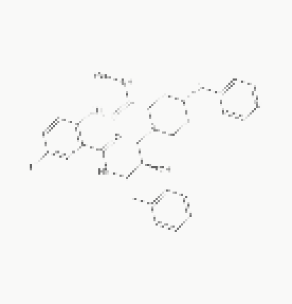 Cc1ccc(F)cc1C(=O)N[C@@H](Cc1ccccc1)[C@H](O)CN1CC[C@@H](Sc2ccncc2)C[C@H]1C(=O)NC(C)(C)C